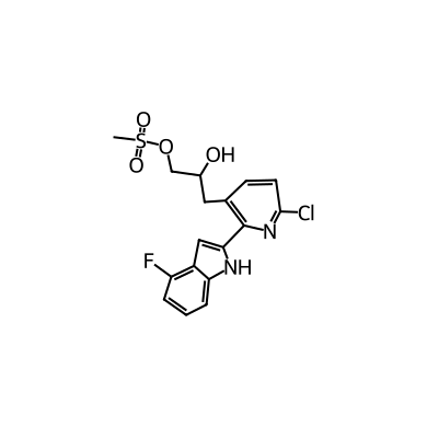 CS(=O)(=O)OCC(O)Cc1ccc(Cl)nc1-c1cc2c(F)cccc2[nH]1